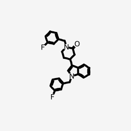 O=C1CC(c2cn(Cc3cccc(F)c3)c3ccccc23)CCN1Cc1cccc(F)c1